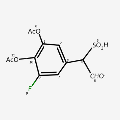 CC(=O)Oc1cc(C([C]=O)S(=O)(=O)O)cc(F)c1OC(C)=O